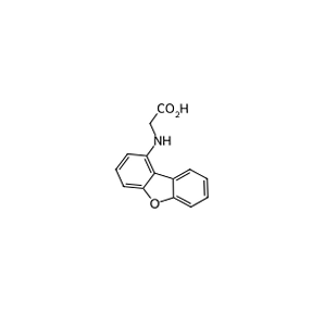 O=C(O)CNc1cccc2oc3ccccc3c12